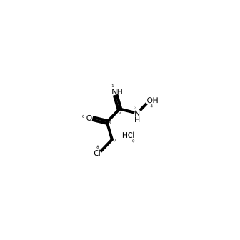 Cl.N=C(NO)C(=O)CCl